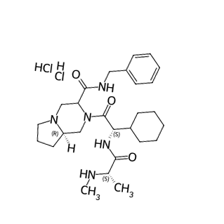 CN[C@@H](C)C(=O)N[C@H](C(=O)N1C[C@H]2CCCN2CC1C(=O)NCc1ccccc1)C1CCCCC1.Cl.Cl